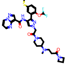 CSc1ccc(OC(F)F)c(-c2nn(CC(=O)N3CCC(N(C)CCC(=O)N4CCC4)CC3)cc2NC(=O)c2cnn3cccnc23)c1